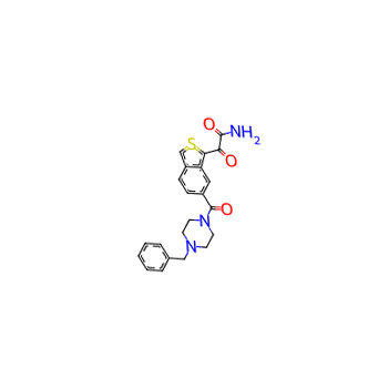 NC(=O)C(=O)c1scc2ccc(C(=O)N3CCN(Cc4ccccc4)CC3)cc12